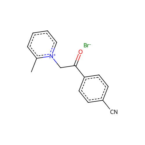 Cc1cccc[n+]1CC(=O)c1ccc(C#N)cc1.[Br-]